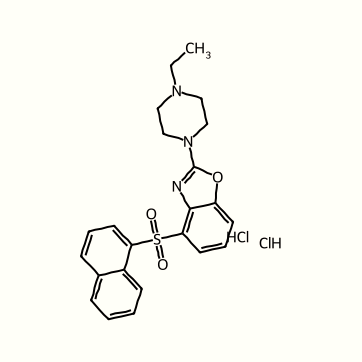 CCN1CCN(c2nc3c(S(=O)(=O)c4cccc5ccccc45)cccc3o2)CC1.Cl.Cl